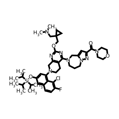 CC(C)[Si](Oc1cc(N2CCc3c(nc(OCC4(CN(C)C)CC4)nc3N3CCCn4nc(C(=O)N5CCOCC5)cc4C3)C2)c2c(Cl)c(F)ccc2c1)(C(C)C)C(C)C